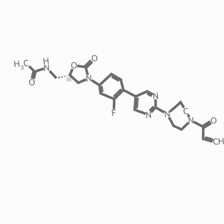 C=CC(=O)N1CCN(c2ncc(-c3ccc(N4C[C@H](CNC(C)=O)OC4=O)cc3F)cn2)CC1